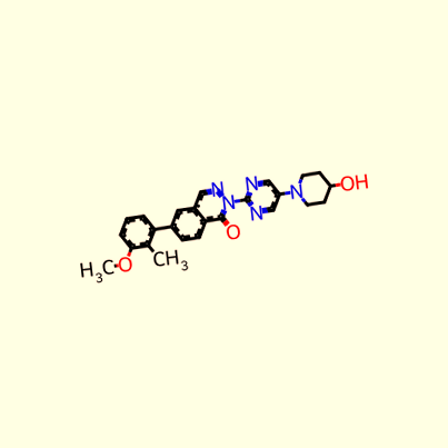 COc1cccc(-c2ccc3c(=O)n(-c4ncc(N5CCC(O)CC5)cn4)ncc3c2)c1C